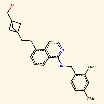 COc1ccc(CNc2nccc3c(CCC45CC(CO)(C4)C5)cccc23)c(OC)c1